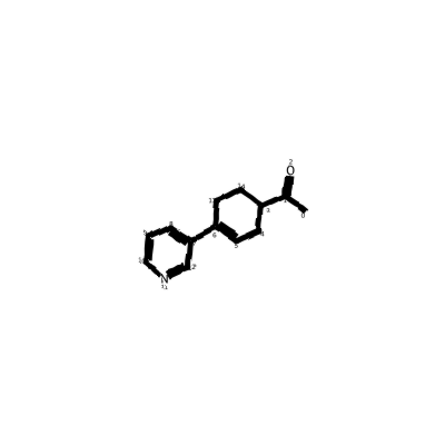 CC(=O)C1CC=C(c2cccnc2)CC1